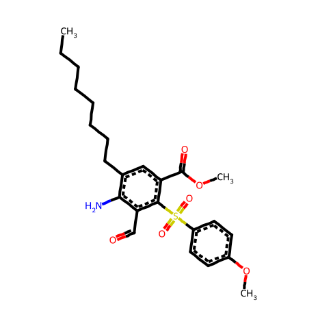 CCCCCCCCc1cc(C(=O)OC)c(S(=O)(=O)c2ccc(OC)cc2)c(C=O)c1N